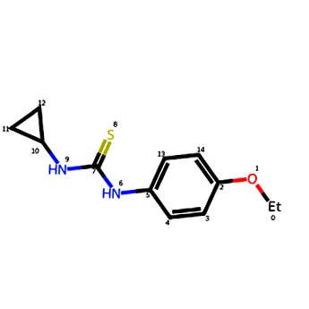 CCOc1ccc(NC(=S)NC2CC2)cc1